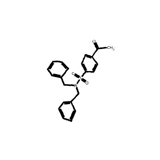 [CH2]C(=O)c1ccc(S(=O)(=O)N(Cc2ccccc2)Cc2ccccc2)cc1